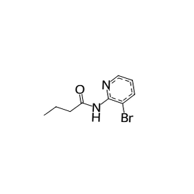 CCCC(=O)Nc1ncccc1Br